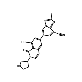 Cc1cn2cc(-c3cc(O)c4c(=O)n(C5CCNC5)ccc4c3)cc(C#N)c2n1